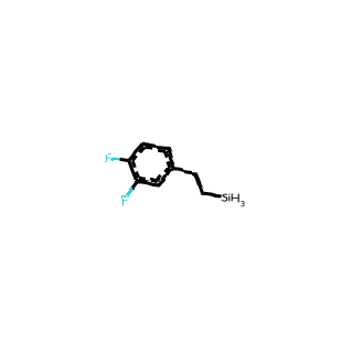 Fc1ccc(CC[SiH3])cc1F